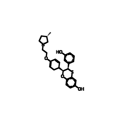 C[C@H]1CCN(CCOC2=CCC([C@@H]3Oc4ccc(O)cc4S[C@@H]3c3cccc(O)c3)C=C2)C1